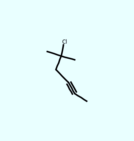 CC#CCC(C)(C)Cl